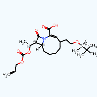 C=CCOC(=O)O[C@H](C)[C@H]1C(=O)N2C(C(=O)O)=[C]C(CCO[Si](C)(C)C(C)(C)C)CCCC[C@H]12